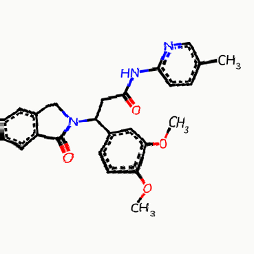 COc1ccc(C(CC(=O)Nc2ccc(C)cn2)N2Cc3ccccc3C2=O)cc1OC